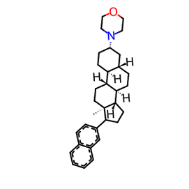 C[C@]12CC[C@H]3[C@@H](CC[C@H]4C[C@@H](N5CCOCC5)CC[C@@H]43)[C@@H]1CCC2c1ccc2ccccc2c1